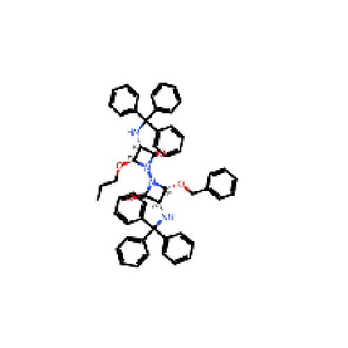 CCCO[C@H]1[C@H](NC(c2ccccc2)(c2ccccc2)c2ccccc2)C(=O)N1N1C(=O)[C@@H](NC(c2ccccc2)(c2ccccc2)c2ccccc2)[C@H]1OCc1ccccc1